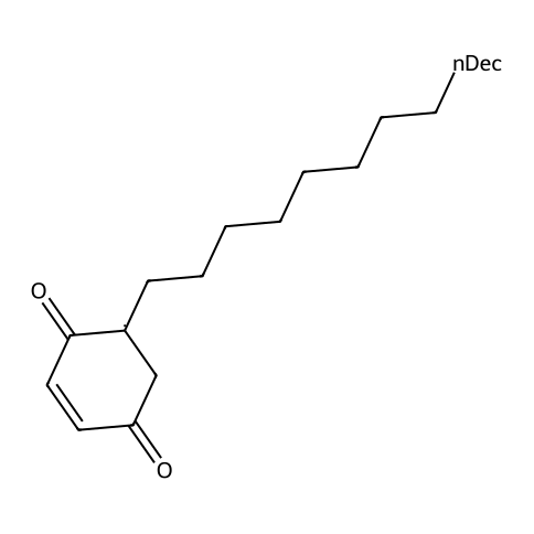 CCCCCCCCCCCCCCCCCC[C]1CC(=O)C=CC1=O